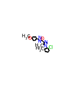 COc1ccc(-c2noc(-c3ncn(-c4c(C)cccc4Cl)c3C)n2)cc1